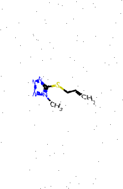 C=CCSc1nnnn1C